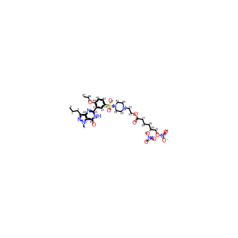 CCCc1nn(C)c2c(=O)[nH]c(-c3cc(S(=O)(=O)N4CCN(CCOC(=O)CCCC(CO[N+](=O)[O-])O[N+](=O)[O-])CC4)ccc3OCC)nc12